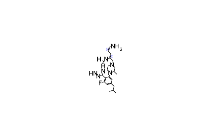 CC(C)Cc1cc(F)c(C(=N)N=N)c(N2CCN(C/C(N)=C/C=C\N)CC2C)c1